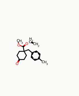 C=C.COC(=O)C1(Cc2ccc(C)cc2)CCC(=O)CC1